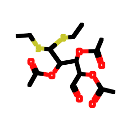 CCSC(SCC)C(OC(C)=O)C(OC(C)=O)C(C=O)OC(C)=O